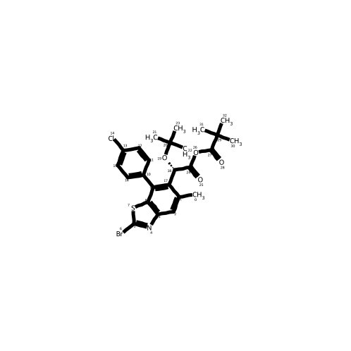 Cc1cc2nc(Br)sc2c(-c2ccc(Cl)cc2)c1[C@H](OC(C)(C)C)C(=O)OC(=O)C(C)(C)C